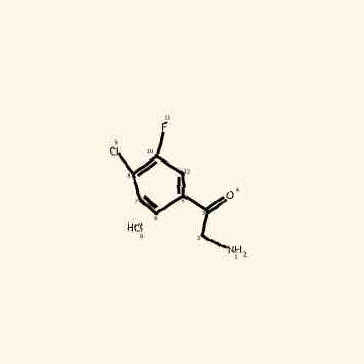 Cl.NCC(=O)c1ccc(Cl)c(F)c1